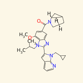 COc1cc(C(=O)N2C[C@H]3CC4C[C@@H]2[C@H]43)cc2nc(-c3cc4cccnc4n3CC3CC3)n(CC(C)C)c12